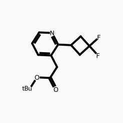 CC(C)(C)OC(=O)Cc1cccnc1C1CC(F)(F)C1